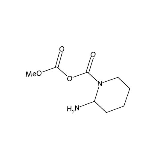 COC(=O)OC(=O)N1CCCCC1N